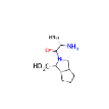 CC(C)(C)[C@H](N)C(=O)N1CC2CCCC2C1C(=O)O